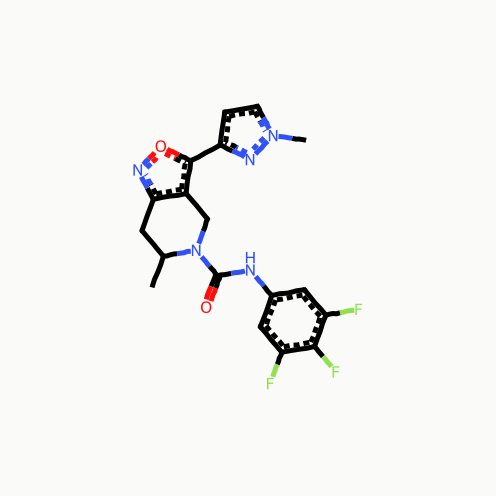 CC1Cc2noc(-c3ccn(C)n3)c2CN1C(=O)Nc1cc(F)c(F)c(F)c1